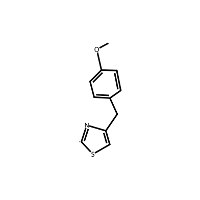 COc1ccc(Cc2cs[c]n2)cc1